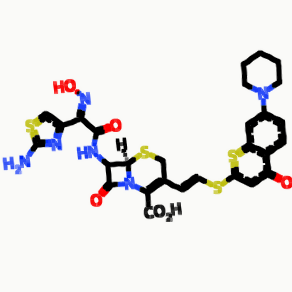 Nc1nc(/C(=N\O)C(=O)NC2C(=O)N3C(C(=O)O)=C(/C=C/Sc4cc(=O)c5ccc(N6CCCCC6)cc5s4)CS[C@H]23)cs1